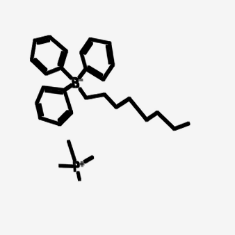 CCCCCCCC[B-](c1ccccc1)(c1ccccc1)c1ccccc1.C[P+](C)(C)C